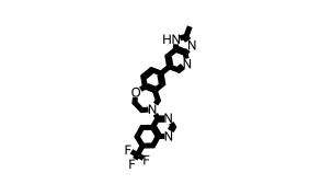 Cc1nc2ncc(-c3ccc4c(c3)CN(c3ncnc5c3CCC(C(F)(F)F)C5)CCO4)cc2[nH]1